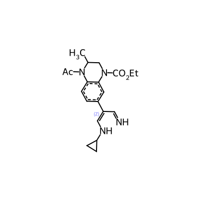 CCOC(=O)N1CC(C)N(C(C)=O)c2ccc(/C(C=N)=C/NC3CC3)cc21